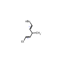 [CH2]C(/C=C/CC)/C=C/CCCC